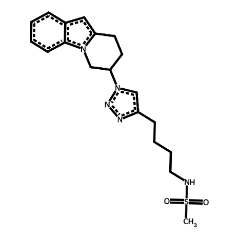 CS(=O)(=O)NCCCCc1cn(C2CCc3cc4ccccc4n3C2)nn1